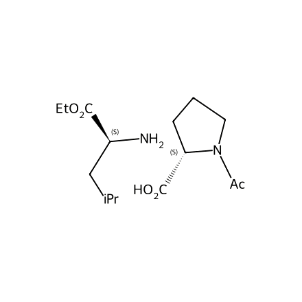 CC(=O)N1CCC[C@H]1C(=O)O.CCOC(=O)[C@@H](N)CC(C)C